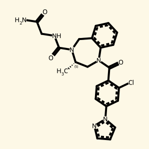 C[C@H]1CN(C(=O)c2ccc(-n3cccn3)cc2Cl)c2ccccc2CN1C(=O)NCC(N)=O